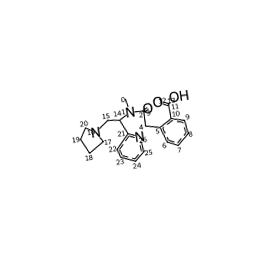 CN(C(=O)Cc1ccccc1C(=O)O)C(CN1CCCC1)c1ccccn1